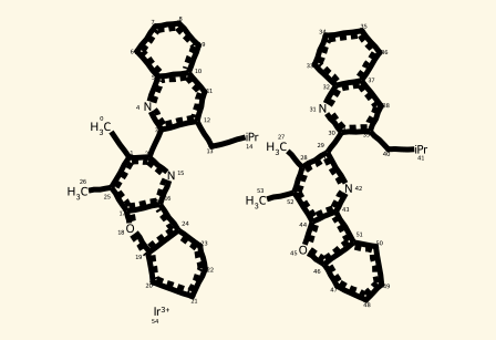 Cc1c(-c2nc3ccccc3cc2CC(C)C)nc2c(oc3ccccc32)c1C.Cc1c(-c2nc3ccccc3cc2CC(C)C)nc2c(oc3ccccc32)c1C.[Ir+3]